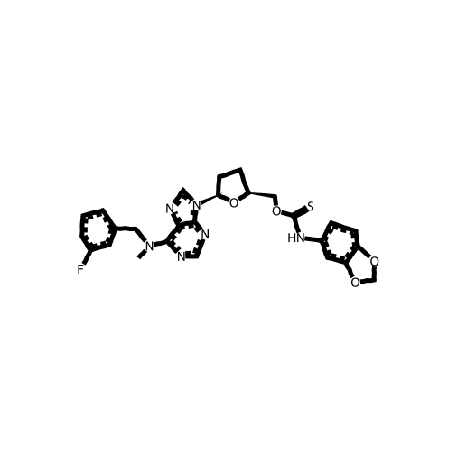 CN(Cc1cccc(F)c1)c1ncnc2c1ncn2[C@H]1CC[C@@H](COC(=S)Nc2ccc3c(c2)OCO3)O1